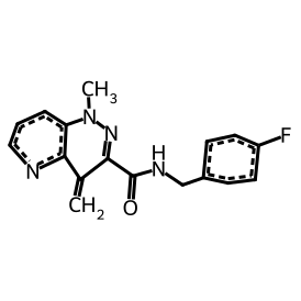 C=C1C(C(=O)NCc2ccc(F)cc2)=NN(C)c2cccnc21